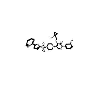 CC1(COc2c(N3CCN(S(=O)(=O)c4ccc(-c5ccccn5)s4)CC3)cnn(-c3cccc(Cl)c3)c2=O)CC1